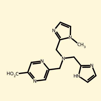 Cn1ccnc1CN(Cc1cnc(C(=O)O)cn1)Cc1ncc[nH]1